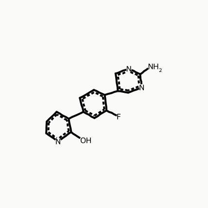 Nc1ncc(-c2ccc(-c3cccnc3O)cc2F)cn1